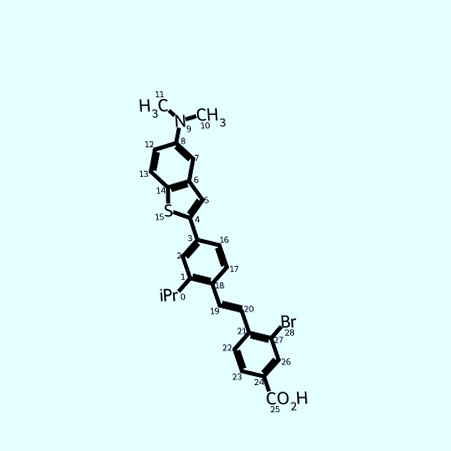 CC(C)c1cc(-c2cc3cc(N(C)C)ccc3s2)ccc1C=Cc1ccc(C(=O)O)cc1Br